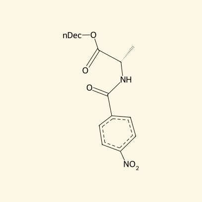 CCCCCCCCCCOC(=O)[C@H](C)NC(=O)c1ccc([N+](=O)[O-])cc1